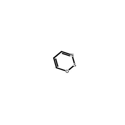 [C]1=CC=NSO1